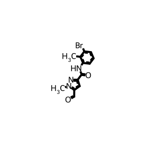 Cc1c(Br)cccc1NC(=O)c1cc(C=O)n(C)n1